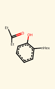 CCC(=O)CC.CCCCCCc1ccccc1O